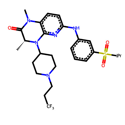 CC(C)S(=O)(=O)c1cccc(Nc2ccc3c(n2)N(C2CCN(CCC(F)(F)F)CC2)[C@H](C)C(=O)N3C)c1